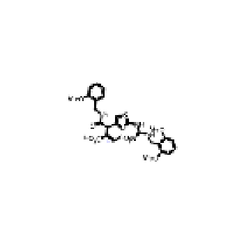 COc1ccccc1CNC(=O)C(/C(=C\C(=O)O)C(=O)O)c1csc(NC(=N)NCc2c(OC)cccc2OC)n1